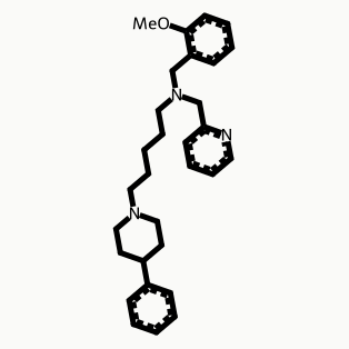 COc1ccccc1CN(CCCCCN1CCC(c2ccccc2)CC1)Cc1ccccn1